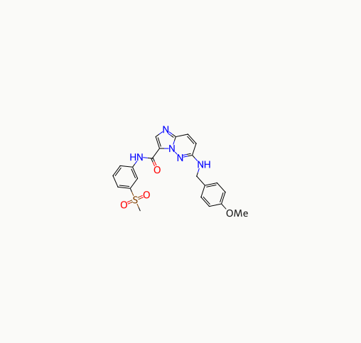 COc1ccc(CNc2ccc3ncc(C(=O)Nc4cccc(S(C)(=O)=O)c4)n3n2)cc1